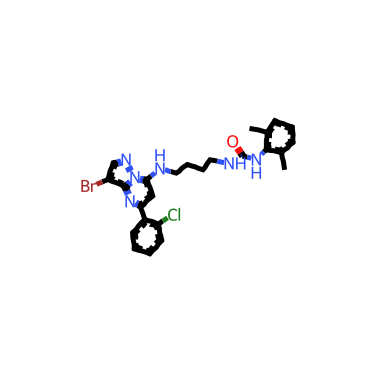 Cc1cccc(C)c1NC(=O)NCCCCNc1cc(-c2ccccc2Cl)nc2c(Br)cnn12